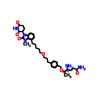 C[C@@H](OCc1ccc(CCCOCCCCCc2cccc3c2n(C)c(=O)n3C2CCC(=O)NC2=O)cc1)[C@@H](N)CCC(N)=O